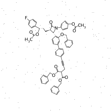 CC(=O)Oc1ccc(N2C(=O)[C@H](CC[C@H](OC(C)=O)c3ccc(F)cc3)[C@H]2c2ccc(-c3ccc(C#CCC(C(=O)OCc4ccccc4)C(=O)OCc4ccccc4)cc3)cc2OCc2ccccc2)cc1